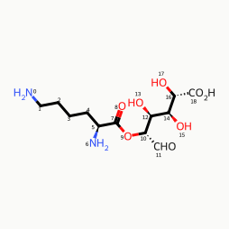 NCCCC[C@H](N)C(=O)O[C@@H](C=O)[C@@H](O)[C@H](O)[C@H](O)C(=O)O